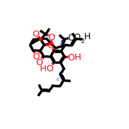 CC(C)=CCC/C(C)=C/Cc1c(O)c(CC=C(C)C)c2c(c1O)C(=O)C13OC1C1CC4C(C)(C)OC(C/C=C(\C)C(=O)O)(CC1=O)C43O2